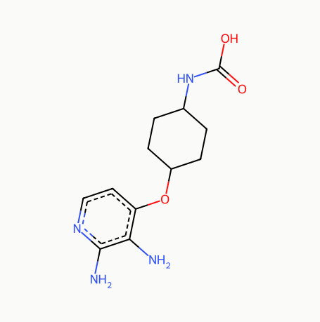 Nc1nccc(OC2CCC(NC(=O)O)CC2)c1N